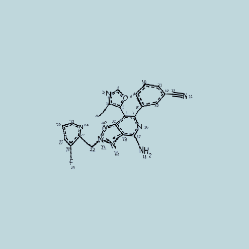 Cc1ncoc1-c1c(-c2cccc(C#N)c2)nc(N)c2nn(Cc3ncccc3F)nc12